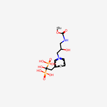 CC(C)(C)OC(=O)NCC(O)C[n+]1cccc(CC(O)(P(=O)(O)O)P(=O)(O)O)c1